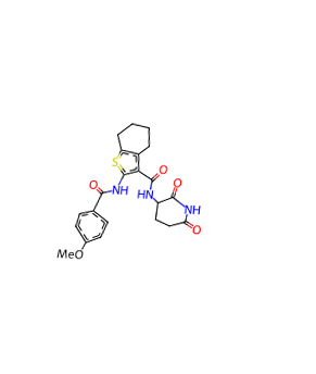 COc1ccc(C(=O)Nc2sc3c(c2C(=O)NC2CCC(=O)NC2=O)CCCC3)cc1